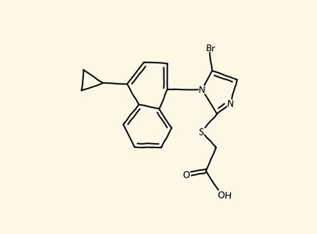 O=C(O)CSc1ncc(Br)n1-c1ccc(C2CC2)c2ccccc12